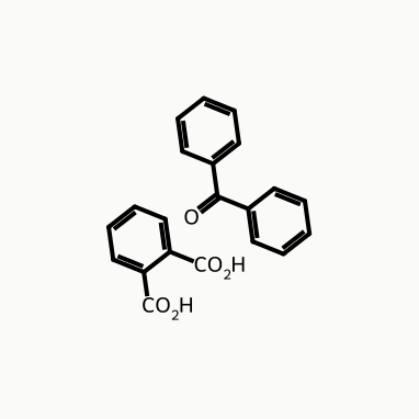 O=C(O)c1ccccc1C(=O)O.O=C(c1ccccc1)c1ccccc1